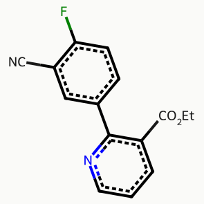 CCOC(=O)c1cccnc1-c1ccc(F)c(C#N)c1